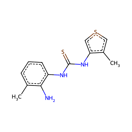 Cc1cscc1NC(=S)Nc1cccc(C)c1N